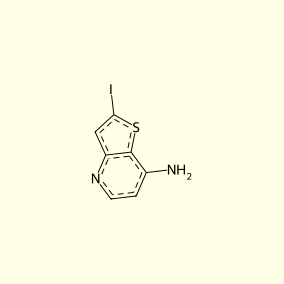 Nc1ccnc2cc(I)sc12